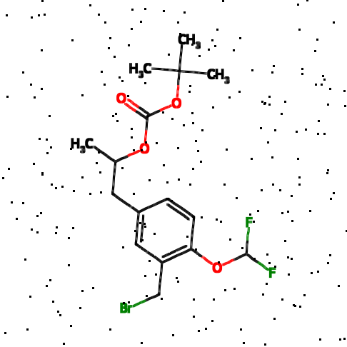 CC(Cc1ccc(OC(F)F)c(CBr)c1)OC(=O)OC(C)(C)C